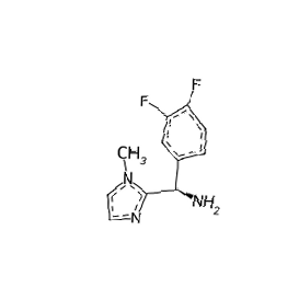 Cn1ccnc1[C@H](N)c1ccc(F)c(F)c1